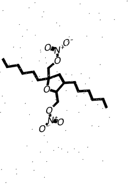 CCCCCCC1CC(CCCCCC)(CO[N+](=O)[O-])OC1CO[N+](=O)[O-]